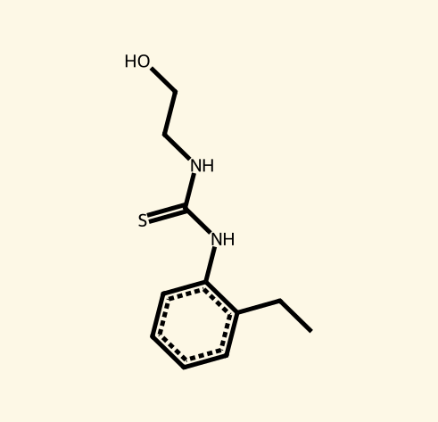 CCc1ccccc1NC(=S)NCCO